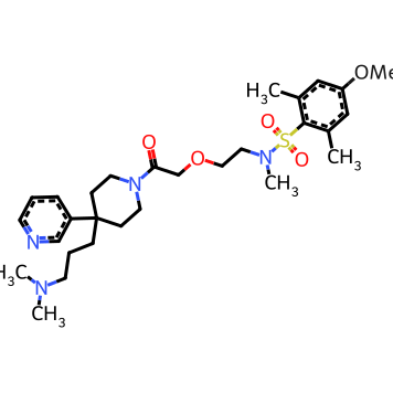 COc1cc(C)c(S(=O)(=O)N(C)CCOCC(=O)N2CCC(CCCN(C)C)(c3cccnc3)CC2)c(C)c1